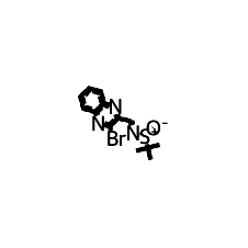 CC(C)(C)[S+]([O-])/N=C/c1nc2ccccc2nc1Br